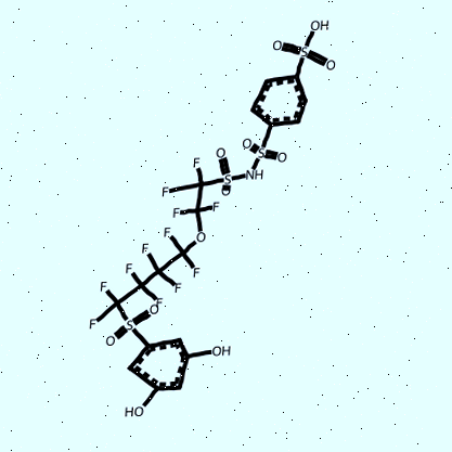 O=S(=O)(O)c1ccc(S(=O)(=O)NS(=O)(=O)C(F)(F)C(F)(F)OC(F)(F)C(F)(F)C(F)(F)C(F)(F)S(=O)(=O)c2cc(O)cc(O)c2)cc1